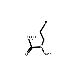 CNN(CCF)C(=O)C(=O)O